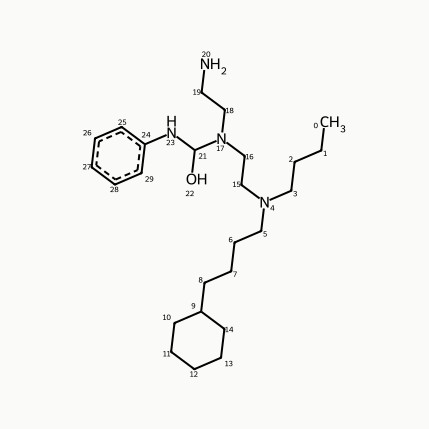 CCCCN(CCCCC1CCCCC1)CCN(CCN)C(O)Nc1ccccc1